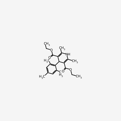 CCOC(=O)C1=C(C)NC(C)=C(C(=O)OCC)C1c1c(C)cc(C)cc1C